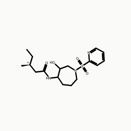 [CH2]C[C@H](C)CC(=O)NC1CCCN(S(=O)(=O)c2ccccn2)CC1O